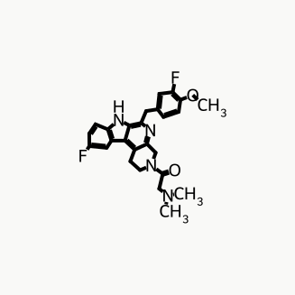 COc1ccc(Cc2nc3c(c4c2[nH]c2ccc(F)cc24)CCN(C(=O)CN(C)C)C3)cc1F